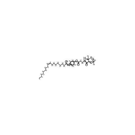 CCCCCCCC/C=C\CCCCCCCC(=O)Nc1ccc(OC(=O)CCNC(=O)C2OC(C)(C)OCC2(C)C)cc1